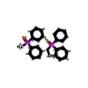 CCP(=S)(c1ccccc1)c1ccccc1.CP(=S)(c1ccccc1)c1ccccc1